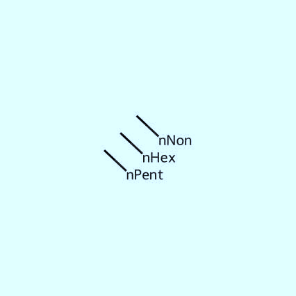 CCCCCC.CCCCCCC.CCCCCCCCCC